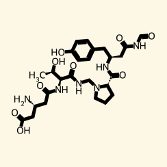 C[C@@H](O)[C@H](NC(=O)C[C@@H](N)CC(=O)O)C(=O)NCN1CCC[C@H]1C(=O)N[C@H](CC(=O)NC=O)Cc1ccc(O)cc1